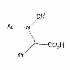 CC(=O)N(O)C(C(=O)O)C(C)C